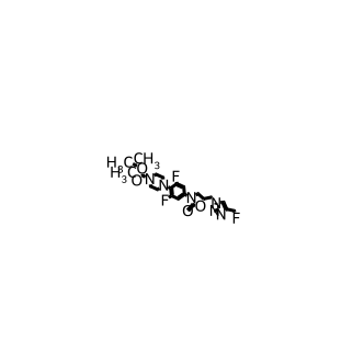 CC(C)(C)OC(=O)N1CCN(c2c(F)cc(N3CC(Cn4cc(CF)nn4)OC3=O)cc2F)CC1